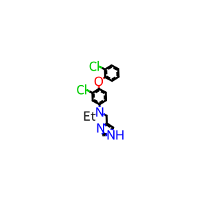 CCN(Cc1c[nH]cn1)c1ccc(Oc2ccccc2Cl)c(Cl)c1